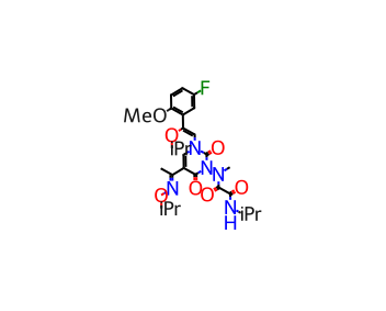 COc1ccc(F)cc1/C(=C/n1cc(/C(C)=N/OC(C)C)c(=O)n(N(C)C(=O)C(=O)NC(C)C)c1=O)OC(C)C